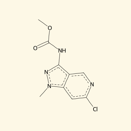 COC(=O)Nc1nn(C)c2cc(Cl)ncc12